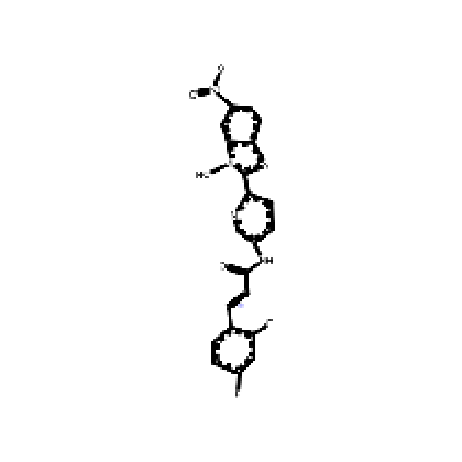 O=C(/C=C/c1ccc(F)cc1F)Nc1ccc(-c2nc3ccc([N+](=O)[O-])cc3n2O)nc1